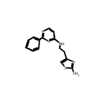 Cc1nc(CCNc2ccnc(-c3ccccc3)n2)cs1